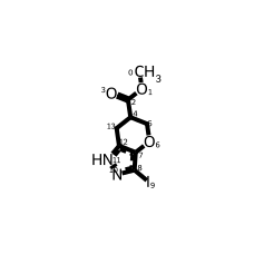 COC(=O)C1COc2c(I)n[nH]c2C1